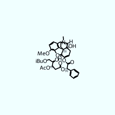 COc1ccc2c3c1O[C@H]1C(OC(=O)[C@@H](OC(=O)C[C@H](OC(C)=O)C(=O)COCC(C)C)c4ccccc4)=CC[C@@]4(O)[C@@H](C2)N(C)CC[C@]314